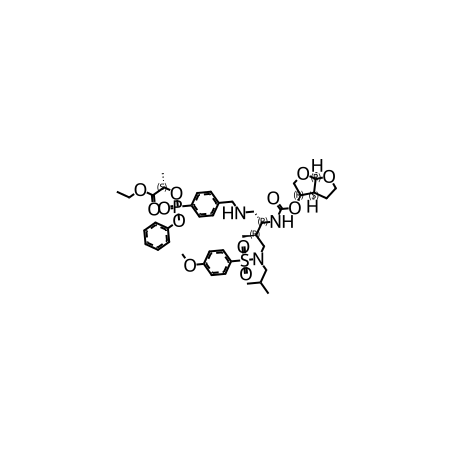 CCOC(=O)[C@H](C)OP(=O)(Oc1ccccc1)c1ccc(CNC[C@H](NC(=O)O[C@H]2CO[C@H]3OCC[C@H]32)[C@H](C)CN(CC(C)C)S(=O)(=O)c2ccc(OC)cc2)cc1